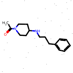 CC(=O)N1CCC(NCCCc2ccccc2)CC1